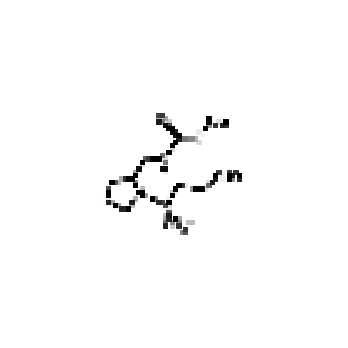 CC(C)(C)OC(=O)NCC1CCCN1[C@@H](CCC=O)C(=O)O